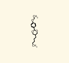 CCCCCC1COC(c2ccc(OCC)cc2)OC1